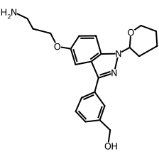 NCCCOc1ccc2c(c1)c(-c1cccc(CO)c1)nn2C1CCCCO1